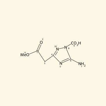 COC(=O)Cc1nc(N)n(C(=O)O)n1